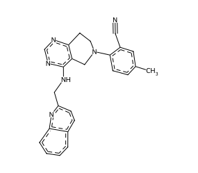 Cc1ccc(N2CCc3ncnc(NCc4ccc5ccccc5n4)c3C2)c(C#N)c1